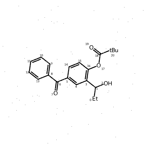 CCC(O)c1cc(C(=O)c2ccccc2)ccc1OC(=O)C(C)(C)C